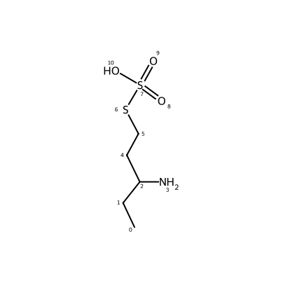 CCC(N)CCSS(=O)(=O)O